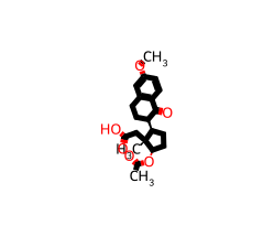 COc1ccc2c(c1)CCC([C@H]1CC[C@H](OC(C)=O)[C@@]1(C)CC(=O)O)C2=O